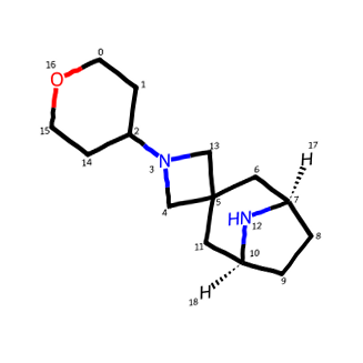 C1CC(N2CC3(C[C@H]4CC[C@@H](C3)N4)C2)CCO1